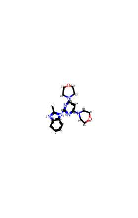 Cc1nc2ccccc2n1-c1nc(N2CCOCC2)cc(N2CCOCC2)n1